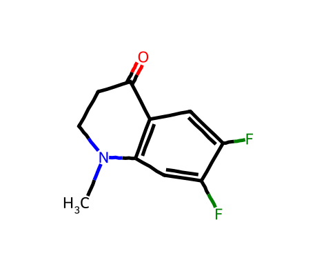 CN1CCC(=O)c2cc(F)c(F)cc21